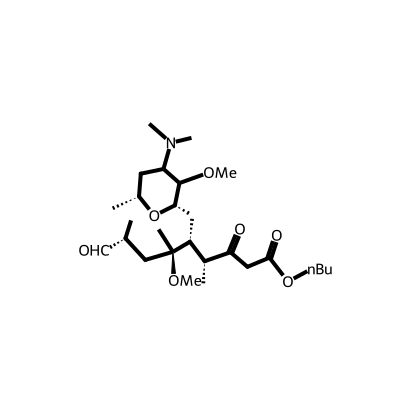 CCCCOC(=O)CC(=O)[C@H](C)[C@@H](C[C@@H]1O[C@H](C)CC(N(C)C)C1OC)[C@@](C)(C[C@@H](C)C=O)OC